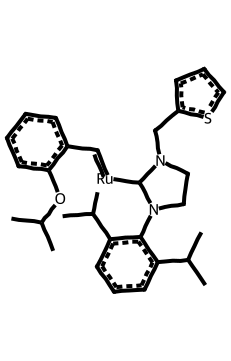 CC(C)Oc1ccccc1[CH]=[Ru][CH]1N(Cc2cccs2)CCN1c1c(C(C)C)cccc1C(C)C